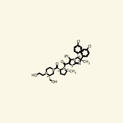 CC(C)C1=C(C(=O)N2[C@H](C)CC[C@H]2C(=O)N2CCN(CCO)[C@@H](CO)C2)SC2=N[C@@](C)(c3ccc(Cl)cc3)[C@@H](c3ccc(Cl)cc3)N21